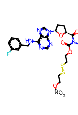 CN(C(=O)OCCSSCCO[N+](=O)[O-])C(=O)[C@@H]1CC[C@H](n2cnc3c(NCc4cccc(F)c4)ncnc32)O1